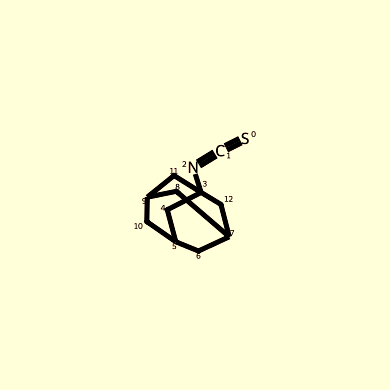 S=C=NC12CC3CC(CC(C3)C1)C2